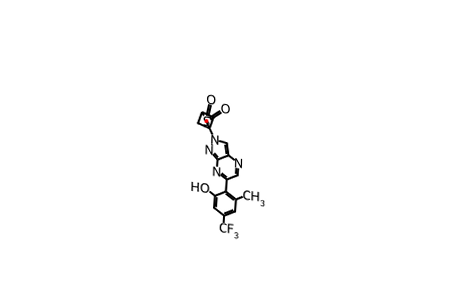 Cc1cc(C(F)(F)F)cc(O)c1-c1cnc2cn(C34CC(C3)S(=O)(=O)C4)nc2n1